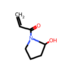 C=CC(=O)N1CCCC1O